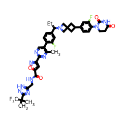 CCC(c1ccc(-c2cnc(-c3cc(C(=O)NCc4nc(C(C)(C)C(F)(F)F)n[nH]4)on3)nc2C)c(F)c1)N1CC2(CC(c3ccc(N4CCC(=O)NC4=O)c(F)c3)C2)C1